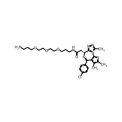 Cc1sc2c(c1C)C(c1ccc(Cl)cc1)=N[C@@H](CC(=O)NCCCOCCOCCOCCCN)c1nnc(C)n1-2